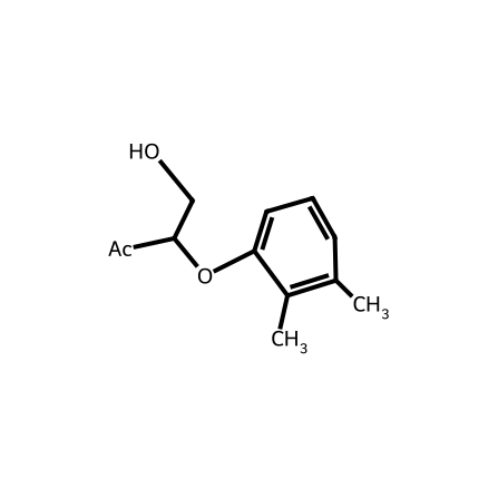 CC(=O)C(CO)Oc1cccc(C)c1C